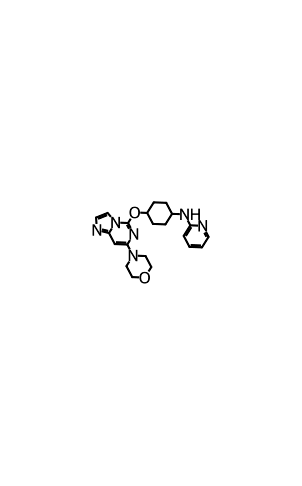 c1ccc(NC2CCC(Oc3nc(N4CCOCC4)cc4nccn34)CC2)nc1